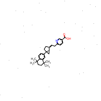 CC1(C)CCC(C)(C)c2cc(C34CC/C(=C/Cc5ccc(C(=O)O)cn5)C3C4)ccc21